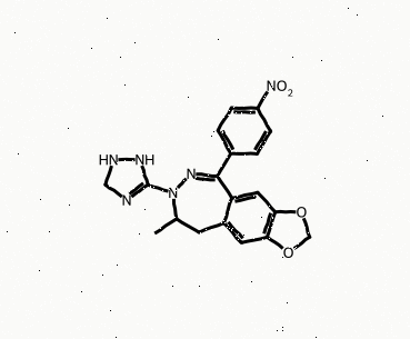 CC1Cc2cc3c(cc2C(c2ccc([N+](=O)[O-])cc2)=NN1C1=NCNN1)OCO3